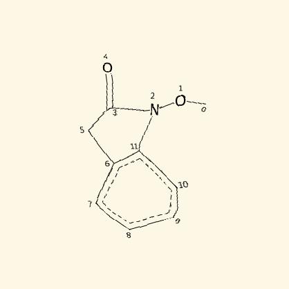 CON1C(=O)Cc2ccccc21